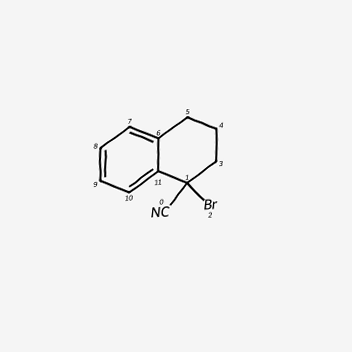 N#CC1(Br)CCCc2ccccc21